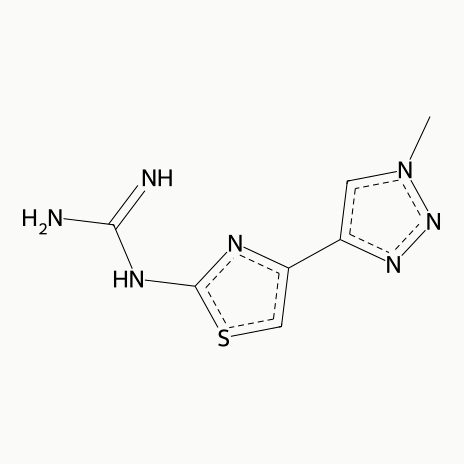 Cn1cc(-c2csc(NC(=N)N)n2)nn1